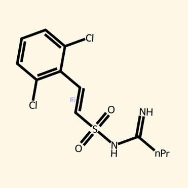 CCCC(=N)NS(=O)(=O)/C=C/c1c(Cl)cccc1Cl